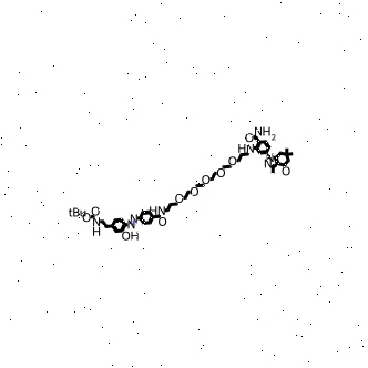 Cc1nn(-c2ccc(C(N)=O)c(NCCCOCCOCCOCCOCCOCCCNC(=O)c3ccc(/N=N/c4ccc(CCNC(=O)OC(C)(C)C)cc4O)cc3)c2)c2c1C(=O)CC(C)(C)C2